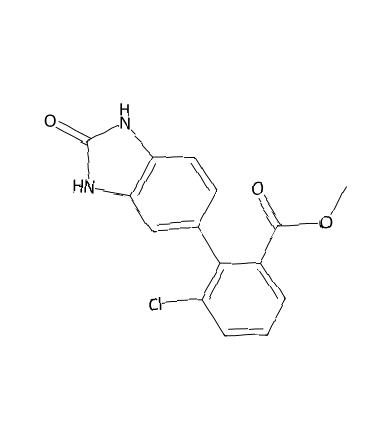 COC(=O)c1cccc(Cl)c1-c1ccc2[nH]c(=O)[nH]c2c1